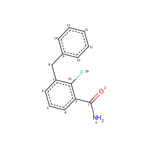 NC(=O)c1cccc(Cc2ccccc2)c1F